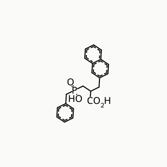 O=C(O)C(Cc1ccc2ccccc2c1)CP(=O)(O)Cc1ccccc1